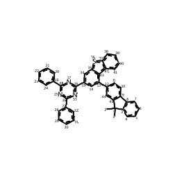 CC1(C)c2ccccc2-c2ccc(-c3cc(-c4nc(-c5ccccc5)nc(-c5ccccc5)n4)cc4sc5ccccc5c34)cc21